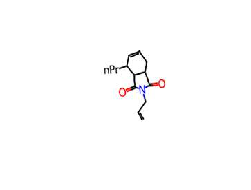 C=CCN1C(=O)C2CC=CC(CCC)C2C1=O